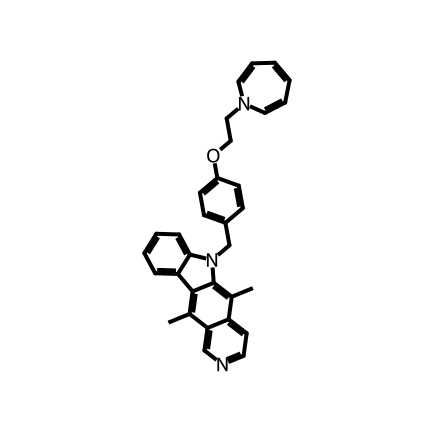 Cc1c2cnccc2c(C)c2c1c1ccccc1n2Cc1ccc(OCCN2C=CC=CC=C2)cc1